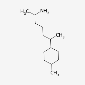 CC(N)CCCC(C)C1CCC(C)CC1